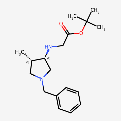 C[C@H]1CN(Cc2ccccc2)C[C@@H]1NCC(=O)OC(C)(C)C